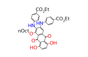 CCCCCCCCOc1c(Nc2ccc(C(=O)OCC)cc2)c(Nc2ccc(C(=O)OCC)cc2)cc2c1C(=O)c1c(O)ccc(O)c1C2=O